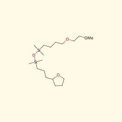 COCCOCCCC[Si](C)(C)O[Si](C)(C)CCCC1CCCO1